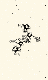 Nc1ncnc2c1ncn2[C@@H]1O[C@H](COPO)[C@@H](OP(=O)(O)OC[C@H]2O[C@@H](n3cnc4c(N)ncnc43)[C@H](CC=O)[C@@H]2O)[C@H]1O